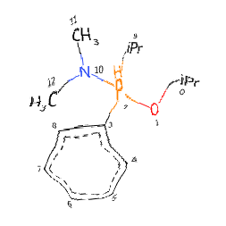 CC(C)O[PH](c1ccccc1)(C(C)C)N(C)C